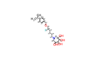 CC(C)c1ccc(COCC(F)CCCCN2C[C@H](O)[C@@H](O)[C@H](O)[C@@H](O)C2)cc1